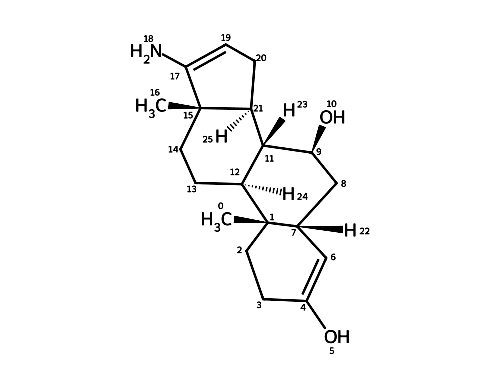 C[C@]12CCC(O)=C[C@H]1C[C@H](O)[C@@H]1[C@@H]2CC[C@]2(C)C(N)=CC[C@@H]12